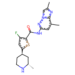 Cc1cn2nc(NC(=O)c3sc([C@@H]4CCN[C@@H](C)C4)cc3F)cc(C)c2n1